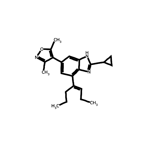 CCC=C(CCC)c1cc(-c2c(C)noc2C)cc2[nH]c(C3CC3)nc12